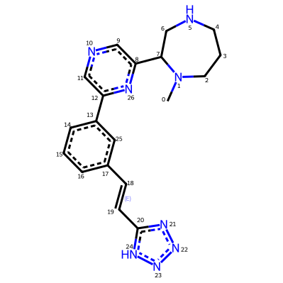 CN1CCCNCC1c1cncc(-c2cccc(/C=C/c3nnn[nH]3)c2)n1